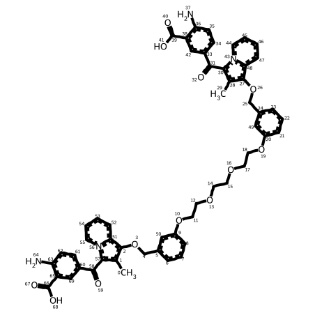 Cc1c(OCc2cccc(OCCOCCOCCOc3cccc(COc4c(C)c(C(=O)c5ccc(N)c(C(=O)O)c5)n5ccccc45)c3)c2)c2ccccn2c1C(=O)c1ccc(N)c(C(=O)O)c1